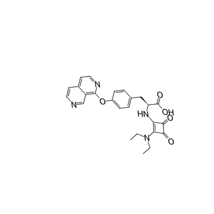 CCN(CC)c1c(N[C@@H](Cc2ccc(Oc3nccc4ccncc34)cc2)C(=O)O)c(=O)c1=O